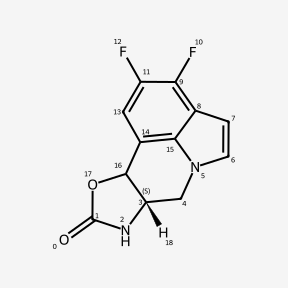 O=C1N[C@H]2Cn3ccc4c(F)c(F)cc(c43)C2O1